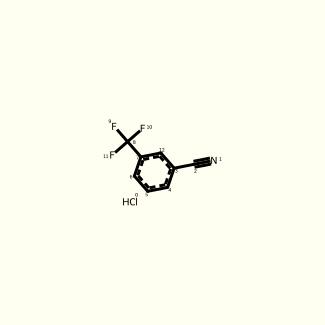 Cl.N#Cc1cccc(C(F)(F)F)c1